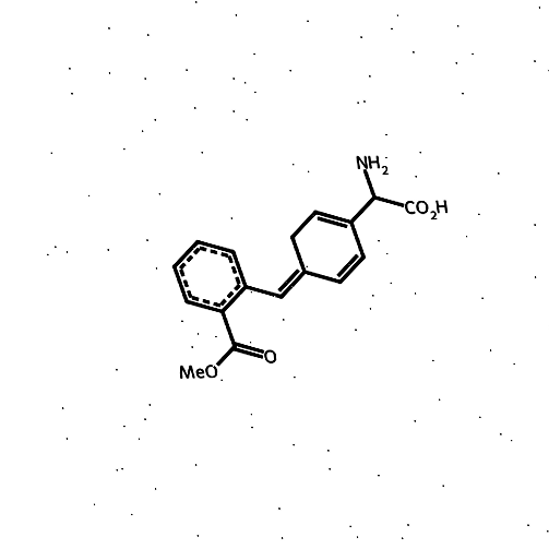 COC(=O)c1ccccc1C=C1C=CC(C(N)C(=O)O)=CC1